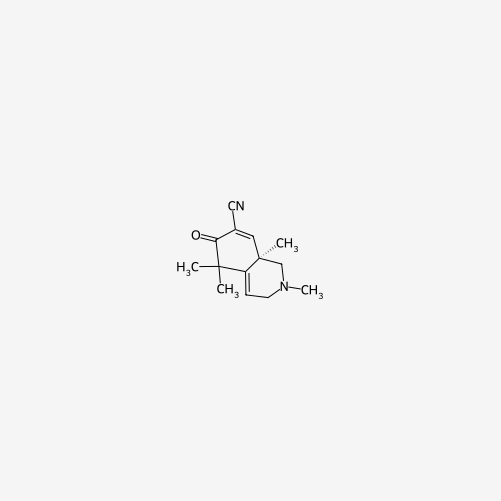 CN1CC=C2C(C)(C)C(=O)C(C#N)=C[C@@]2(C)C1